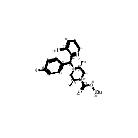 C[C@H]1CN(C(c2ccc(F)cc2)c2ncccc2F)[C@@H](C)CN1C(=O)OC(C)(C)C